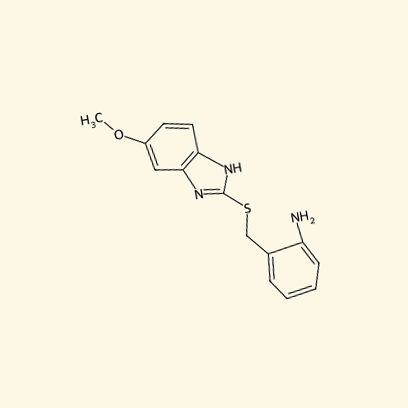 COc1ccc2[nH]c(SCc3ccccc3N)nc2c1